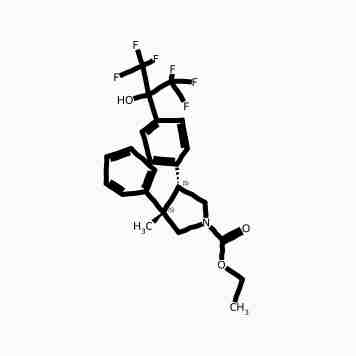 CCOC(=O)N1C[C@@H](c2ccc(C(O)(C(F)(F)F)C(F)(F)F)cc2)[C@@](C)(c2ccccc2)C1